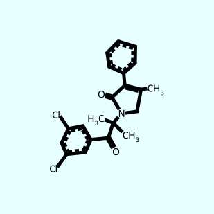 CC1=C(c2ccccc2)C(=O)N(C(C)(C)C(=O)c2cc(Cl)cc(Cl)c2)C1